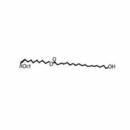 CCCCCCCC/C=C\CCCCCCCCOC(=O)CCCCCCCCCCCCCCCCCO